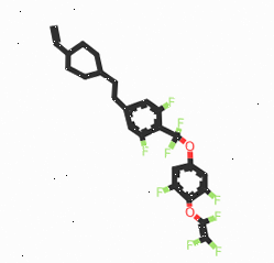 C=CC1CCC(CCc2cc(F)c(C(F)(F)Oc3cc(F)c(OC(F)=C(F)F)c(F)c3)c(F)c2)CC1